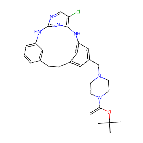 C=C(OC(C)(C)C)N1CCN(Cc2cc3cc(c2)Nc2nc(ncc2Cl)Nc2cccc(c2)CC3)CC1